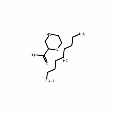 Cl.NC(=O)C1CNCCO1.NCCCCCCCC(=O)O